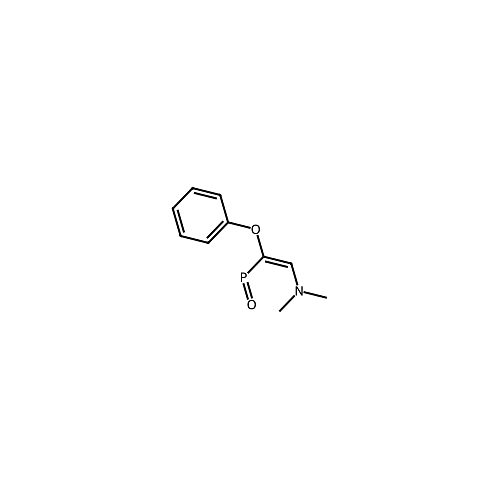 CN(C)C=C(Oc1ccccc1)P=O